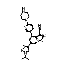 CC(C)n1cc(-c2cc(-c3ccc(N4CCNCC4)nc3)c3c(C#N)cnn3c2)nn1.Cl